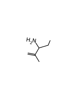 C=C(C)C(N)CC